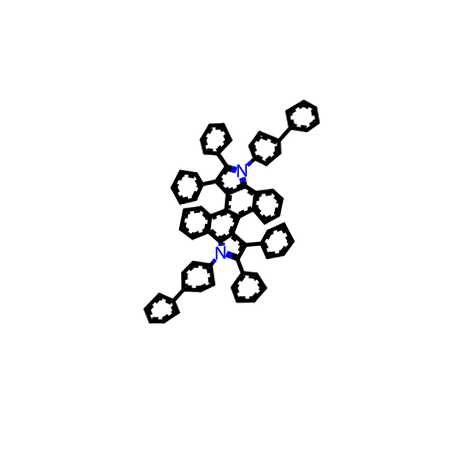 c1ccc(-c2ccc(-n3c(-c4ccccc4)c(-c4ccccc4)c4c5c6ccccc6c6c(c(-c7ccccc7)c(-c7ccccc7)n6-c6ccc(-c7ccccc7)cc6)c5c5ccccc5c43)cc2)cc1